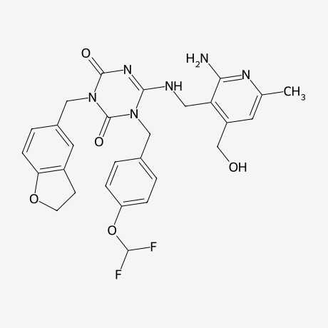 Cc1cc(CO)c(CNc2nc(=O)n(Cc3ccc4c(c3)CCO4)c(=O)n2Cc2ccc(OC(F)F)cc2)c(N)n1